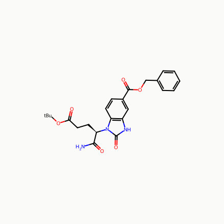 CC(C)(C)OC(=O)CC[C@H](C(N)=O)n1c(=O)[nH]c2cc(C(=O)OCc3ccccc3)ccc21